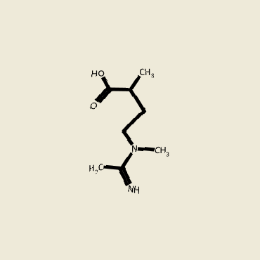 CC(=N)N(C)CCC(C)C(=O)O